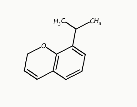 CC(C)c1cccc2c1OCC=C2